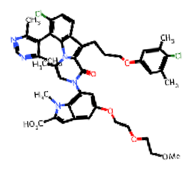 COCCOCCOc1cc(N2CC(C)n3c(c(CCCOc4cc(C)c(Cl)c(C)c4)c4ccc(Cl)c(-c5c(C)ncnc5C)c43)C2=O)c2c(c1)cc(C(=O)O)n2C